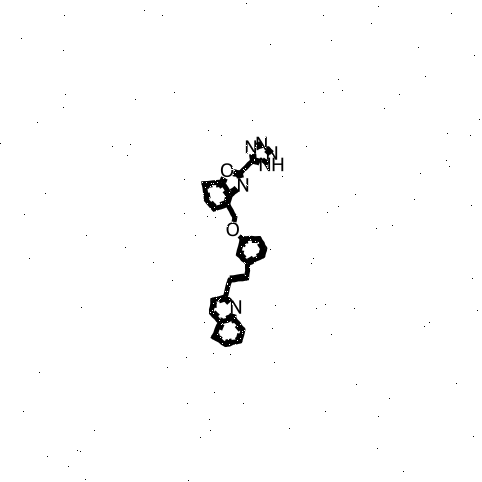 C(=Cc1ccc2ccccc2n1)c1cccc(OCc2cccc3oc(-c4nnn[nH]4)nc23)c1